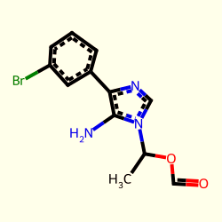 CC(OC=O)n1cnc(-c2cccc(Br)c2)c1N